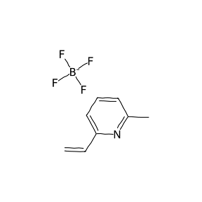 C=Cc1cccc(C)n1.F[B-](F)(F)F